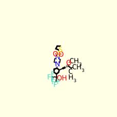 CO[C@@H](C#Cc1cc(C(O)(C(F)(F)F)C(F)(F)F)ccc1N1CCN(S(=O)(=O)c2cccs2)CC1)C(C)C